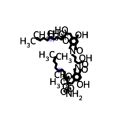 CC(C)=CCC/C(C)=C/CC[C@@]1(C)Oc2c(c(O)cc3c2CN(C(CCCN2Cc4c(cc(O)c5c4O[C@](C)(CC/C=C(\C)CCC=C(C)C)[C@@H](O)C5)C2=O)C(=O)O)C3=O)C[C@@H]1OS(N)(=O)=O